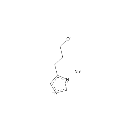 [Na+].[O-]CCCc1c[nH]cn1